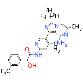 [2H]C([2H])([2H])c1nc(-c2cnc(NC(=O)C(O)c3cccc(C(F)(F)F)c3)cc2C)c2c(N)nc(C)cn12